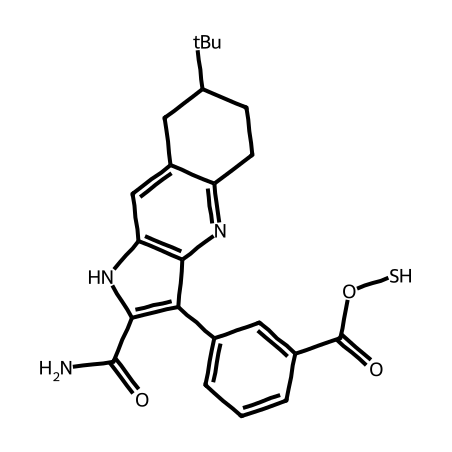 CC(C)(C)C1CCc2nc3c(-c4cccc(C(=O)OS)c4)c(C(N)=O)[nH]c3cc2C1